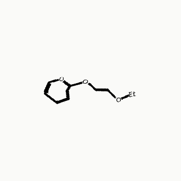 CCOCCOC1CCC=CO1